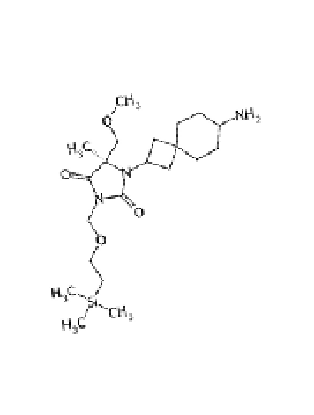 COC[C@]1(C)C(=O)N(COCC[Si](C)(C)C)C(=O)N1C1CC2(CCC(N)CC2)C1